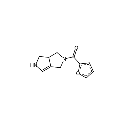 O=C(c1ccco1)N1CC2=CNCC2C1